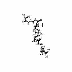 C=C(CCCCC(=C)C(=C)C)NCC(C)CC(C)(C)CCN(C)C(=C)CCCCC(=O)C(=C)C